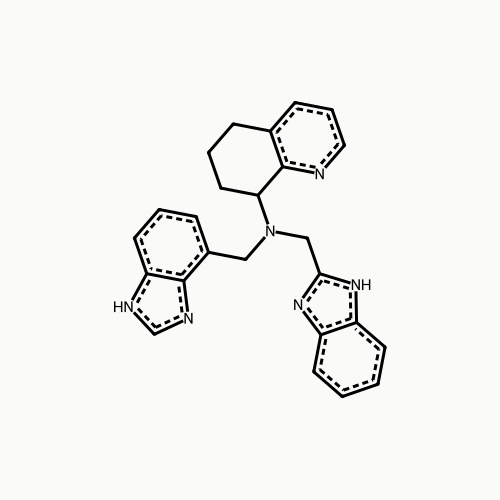 c1cnc2c(c1)CCCC2N(Cc1nc2ccccc2[nH]1)Cc1cccc2[nH]cnc12